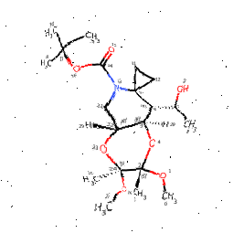 CO[C@@]1(C)O[C@@H]2[C@@H](C(C)O)C3(CC3)N(C(=O)OC(C)(C)C)C[C@H]2O[C@]1(C)OC